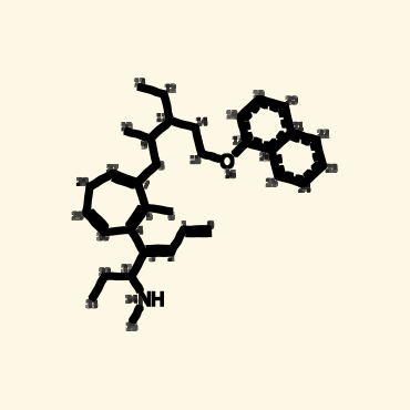 C=C/C=C(\C1=C(C)C(CC(C)C(CC)CCOc2cccc3ccccc23)=CCC=C1)C(CC)NC